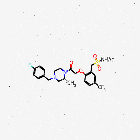 CC(=O)NS(=O)(=O)Cc1cc(C(F)(F)F)ccc1OCC(=O)N1CCN(Cc2ccc(F)cc2)C[C@H]1C